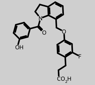 O=C(O)CCc1ccc(OCc2cccc3c2N(C(=O)c2cccc(O)c2)CC3)cc1F